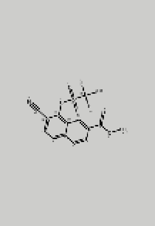 COC(=O)c1ccc2ccc(C#N)c(OS(=O)(=O)C(F)(F)F)c2c1